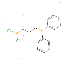 ClP(Cl)CCCP(c1ccccc1)c1ccccc1